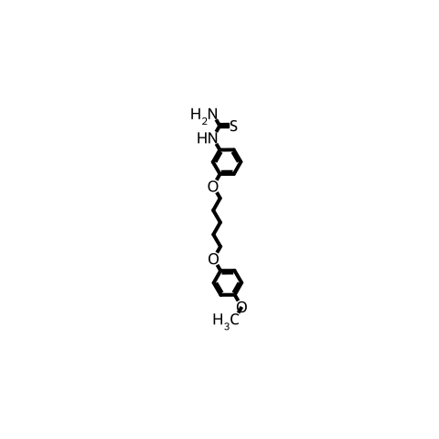 COc1ccc(OCCCCCOc2cccc(NC(N)=S)c2)cc1